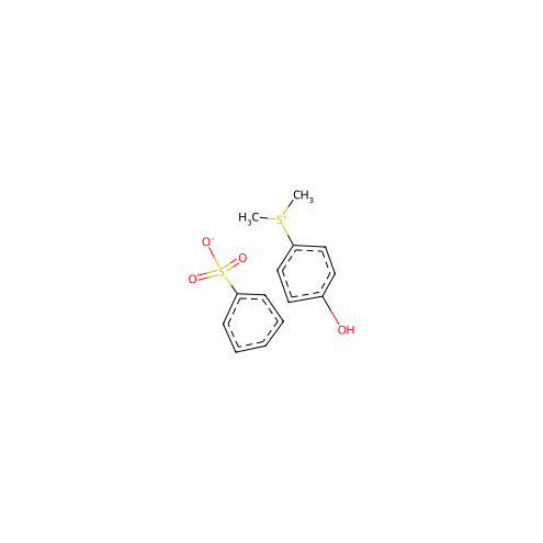 C[S+](C)c1ccc(O)cc1.O=S(=O)([O-])c1ccccc1